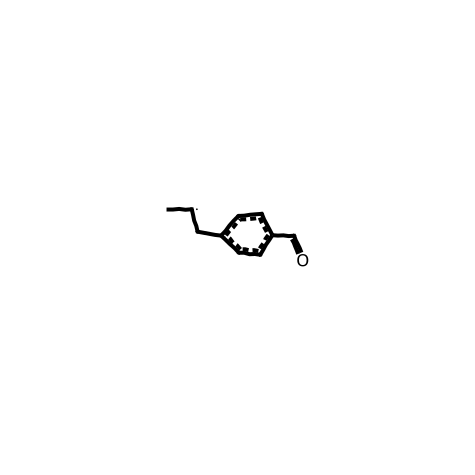 C[CH]Cc1ccc(C=O)cc1